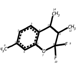 Cc1ccc2c(c1)OC(F)(F)C(C)C2C